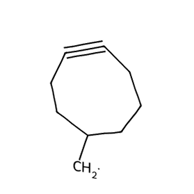 [CH2]C1CCC#CCCC1